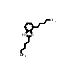 CCCCCc1nc2c(CCCCC)cccc2[nH]1